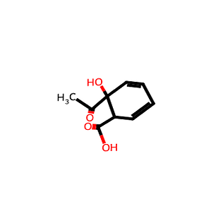 CC(=O)C1(O)C=CC=CC1C(=O)O